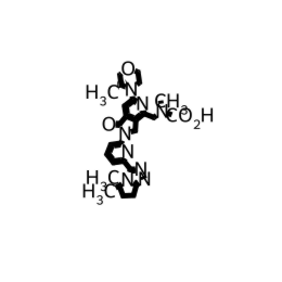 C[C@@H]1COCCN1c1cc2c(c(CN(C)C(=O)O)n1)CN(c1cccc(-c3nnc4n3C(C)(C)CC4)n1)C2=O